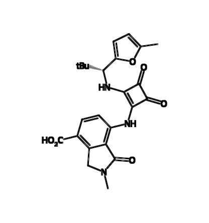 Cc1ccc([C@H](Nc2c(Nc3ccc(C(=O)O)c4c3C(=O)N(C)C4)c(=O)c2=O)C(C)(C)C)o1